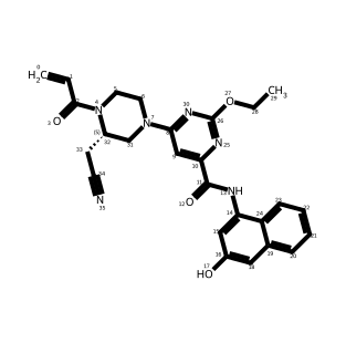 C=CC(=O)N1CCN(c2cc(C(=O)Nc3cc(O)cc4ccccc34)nc(OCC)n2)C[C@@H]1CC#N